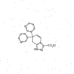 CCOC(=O)c1n[nH]c2c1C=CC(c1cccnc1)(c1cccnc1)C2